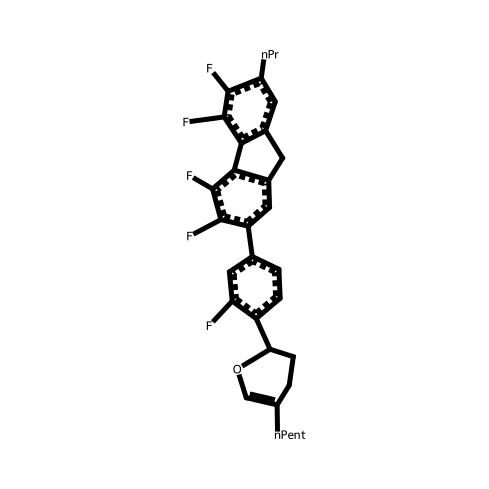 CCCCCC1=COC(c2ccc(-c3cc4c(c(F)c3F)-c3c(cc(CCC)c(F)c3F)C4)cc2F)CC1